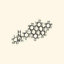 C1=CC2NC(c3ccc(-c4c5ccccc5c(-c5c6ccccc6c(-c6ccccc6)c6ccccc56)c5ccccc45)cc3)=CN2C=C1